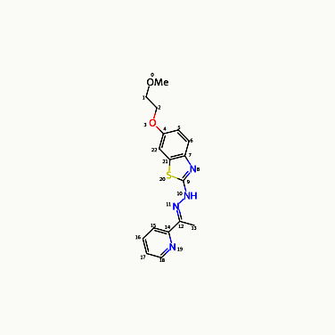 COCCOc1ccc2nc(N/N=C(\C)c3ccccn3)sc2c1